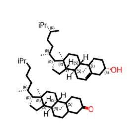 CC(C)CCC[C@@H](C)[C@H]1CC[C@H]2[C@@H]3CCC4CC(=O)CC[C@]4(C)[C@H]3CC[C@]12C.CC(C)[C@H](C)CC[C@@H](C)[C@H]1CC[C@H]2[C@@H]3CC=C4C[C@@H](O)CC[C@]4(C)[C@H]3CC[C@]12C